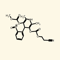 COC(=O)OC1=C(C)NC(C)=C(OC(=O)OCCC#N)C1c1ccccc1[N+](=O)[O-]